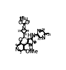 COc1cncc(OCC2CN(C(=O)OC(C)(C)C)C2)c1-c1cc(Nc2cnc(C)cn2)n[nH]1